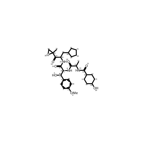 COc1ccc([C@@H](O)[C@H](NC(=O)C(C)NC(=O)C2CCC(O)CC2)C(=O)NC(CC2CCCC2)C(=O)C2(C)CO2)cc1